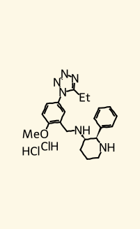 CCc1nnnn1-c1ccc(OC)c(CN[C@@H]2CCCN[C@@H]2c2ccccc2)c1.Cl.Cl